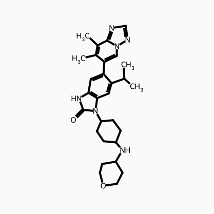 Cc1c(-c2cc3[nH]c(=O)n(C4CCC(NC5CCOCC5)CC4)c3cc2C(C)C)cn2ncnc2c1C